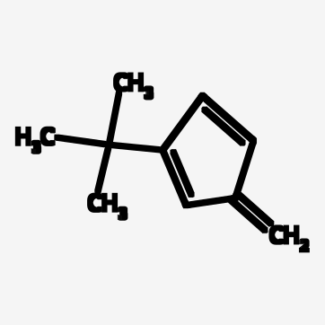 C=C1C=CC(C(C)(C)C)=C1